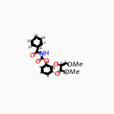 CO/C=C(/Oc1ccccc1OC(=O)NC(=O)c1ccccc1)C(=O)OC